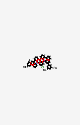 CC(C)(C)c1cc(-c2cccc(N(c3cc(Cl)cc(N(c4cccc(-c5cc(C(C)(C)C)cc(C(C)(C)C)c5)c4)c4c(-c5ccccc5)cccc4-c4ccccc4)c3)c3c(-c4ccccc4)cccc3-c3ccccc3)c2)cc(C(C)(C)C)c1